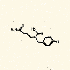 NC(=O)CCCN(Cc1ccc(Cl)cc1)C(=S)S